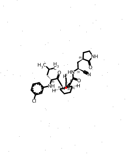 CC(C)C[C@@H](Nc1cccc(Cl)c1)C(=O)N1[C@@H]2CC[C@H]([C@@H]1C(=O)N[C@H](C#N)C[C@H]1CCNC1=O)C(F)(F)C2